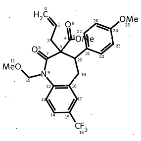 C=CCC1(C(=O)OC)C(=O)N(COC)c2ccc(C(F)(F)F)cc2CC1c1ccc(OC)cc1